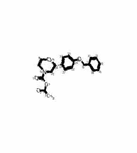 C=C(Cl)OC(=O)N1CCO[C@H](c2ccc(OCc3ccccc3)cc2)C1